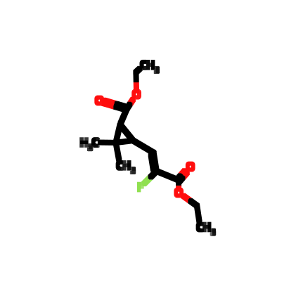 CCOC(=O)C(F)=CC1C(C(=O)OCC)C1(C)C